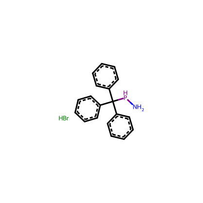 Br.NPC(c1ccccc1)(c1ccccc1)c1ccccc1